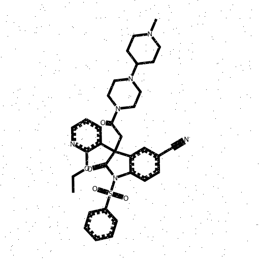 CCOc1ncccc1C1(CC(=O)N2CCN(C3CCN(C)CC3)CC2)C(=O)N(S(=O)(=O)c2ccccc2)c2ccc(C#N)cc21